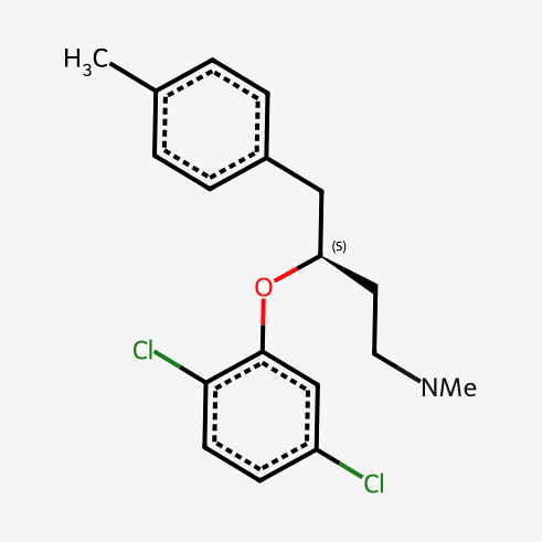 CNCC[C@H](Cc1ccc(C)cc1)Oc1cc(Cl)ccc1Cl